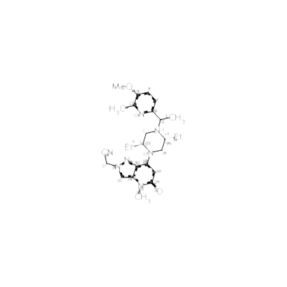 CC[C@H]1CN(C(C)c2ccc(OC)c(C)n2)[C@H](CC)CN1c1cc(=O)n(C)c2cn(CC#N)nc12